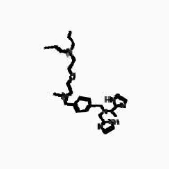 CCCN(CCC)CCOCCN(C)Cc1ccc(CN(Cc2ncc[nH]2)C(C)c2ncc[nH]2)cc1